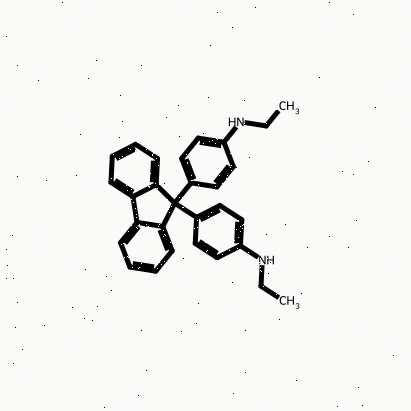 CCNc1ccc(C2(c3ccc(NCC)cc3)c3ccccc3-c3ccccc32)cc1